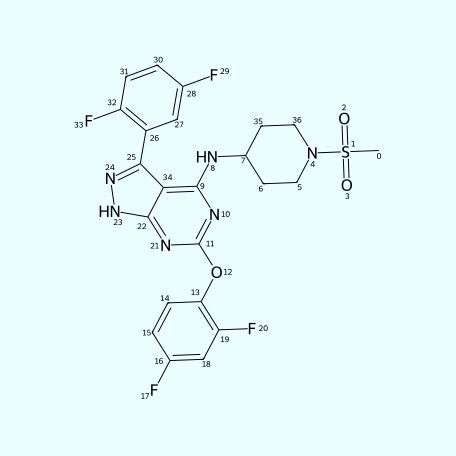 CS(=O)(=O)N1CCC(Nc2nc(Oc3ccc(F)cc3F)nc3[nH]nc(-c4cc(F)ccc4F)c23)CC1